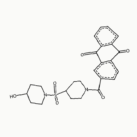 O=C1c2ccccc2C(=O)c2cc(C(=O)N3CCC(S(=O)(=O)N4CCC(O)CC4)CC3)ccc21